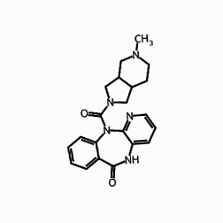 CN1CCC2CN(C(=O)N3c4ccccc4C(=O)Nc4cccnc43)CC2C1